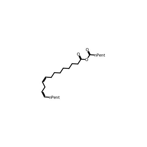 CCCCC/C=C\C/C=C\CCCCCCCC(=O)OC(=O)CCCCC